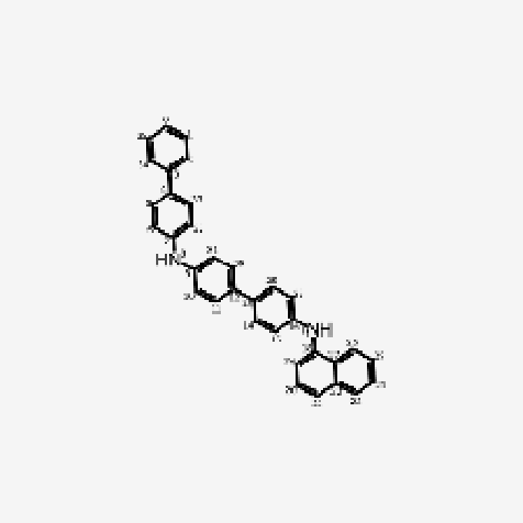 c1ccc(-c2ccc(Nc3ccc(-c4ccc(Nc5cccc6ccccc56)cc4)cc3)cc2)cc1